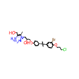 C/C(=C(/N)CO)N(N)CC(O)COc1ccc(C(C)(C)c2ccc(OCCCCl)c(Br)c2)cc1